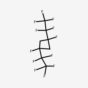 FC(F)(F)C(F)(F)C1(F)CC(F)(C(F)(F)C(F)(F)F)C1